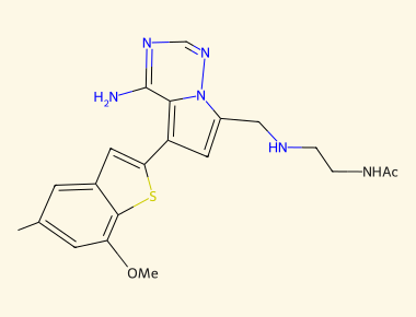 COc1cc(C)cc2cc(-c3cc(CNCCNC(C)=O)n4ncnc(N)c34)sc12